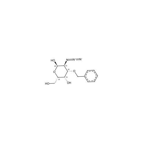 [N-]=[N+]=N[C@H]1[C@H](OCc2ccccc2)[C@H](O)[C@H](CO)O[C@H]1O